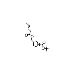 CSCCC(=O)OCC1CCN(C(=O)OC(C)(C)C)C1